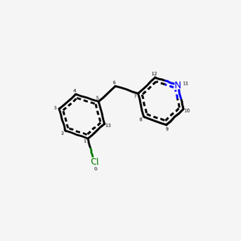 Clc1cccc(Cc2cccnc2)c1